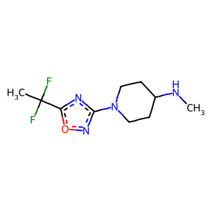 CNC1CCN(c2noc(C(C)(F)F)n2)CC1